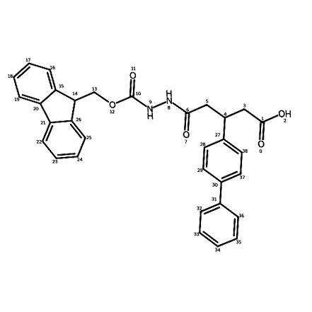 O=C(O)CC(CC(=O)NNC(=O)OCC1c2ccccc2-c2ccccc21)c1ccc(-c2ccccc2)cc1